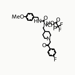 COc1ccc(CNC(=O)N(C)CC2CCN(CC(=O)c3ccc(F)cc3)CC2)cc1.O=C(O)C(F)(F)F